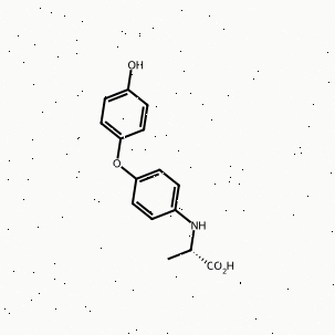 C[C@H](Nc1ccc(Oc2ccc(O)cc2)cc1)C(=O)O